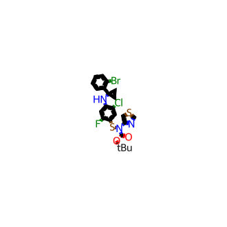 CC(C)(C)OC(=O)N(Sc1cc(Cl)c(NC2(c3ccccc3Br)CC2)cc1F)c1cscn1